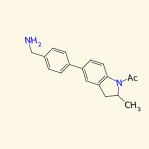 CC(=O)N1c2ccc(-c3ccc(CN)cc3)cc2CC1C